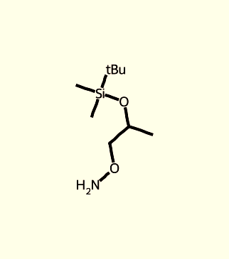 CC(CON)O[Si](C)(C)C(C)(C)C